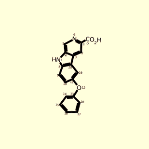 O=C(O)c1cc2c(cn1)[nH]c1ccc(Oc3ccccc3)cc12